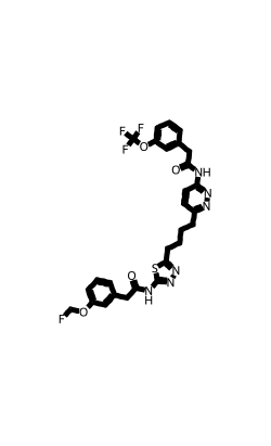 O=C(Cc1cccc(OC(F)(F)F)c1)Nc1ccc(CCCCc2nnc(NC(=O)Cc3cccc(OCF)c3)s2)nn1